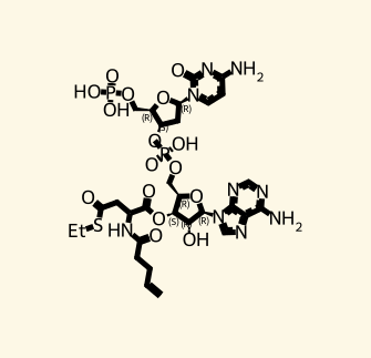 C=CCCC(=O)NC(CC(=O)SCC)C(=O)O[C@H]1[C@@H](O)[C@H](n2cnc3c(N)ncnc32)O[C@@H]1COP(=O)(O)O[C@H]1C[C@H](n2ccc(N)nc2=O)O[C@@H]1COP(=O)(O)O